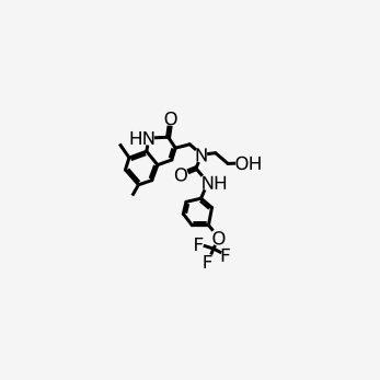 Cc1cc(C)c2[nH]c(=O)c(CN(CCO)C(=O)Nc3cccc(OC(F)(F)F)c3)cc2c1